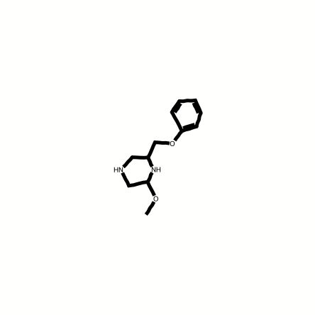 COC1CNCC(COc2ccccc2)N1